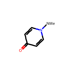 CNn1ccc(=O)cc1